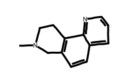 CN1CCc2c(ccc3cccnc23)C1